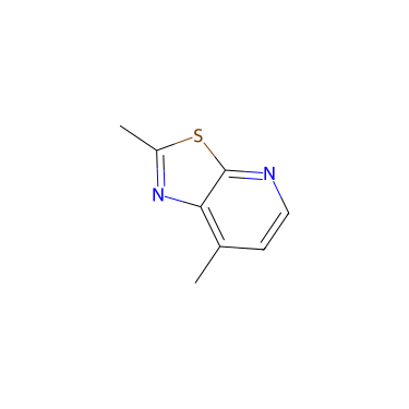 Cc1nc2c(C)ccnc2s1